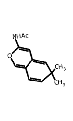 CC(=O)NC1=CC2=CC(C)(C)C=CC2=CO1